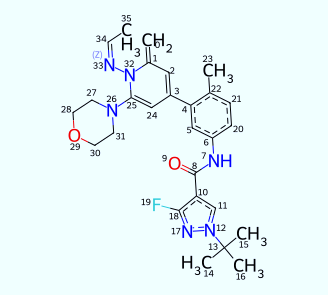 C=C1C=C(c2cc(NC(=O)c3cn(C(C)(C)C)nc3F)ccc2C)C=C(N2CCOCC2)N1/N=C\C